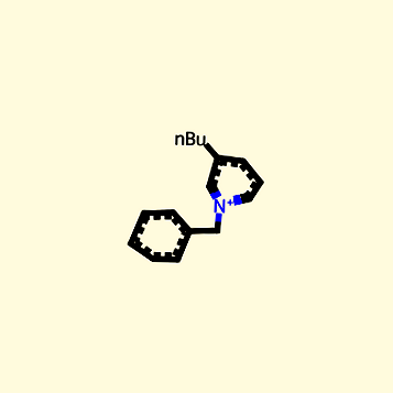 CCCCc1ccc[n+](Cc2ccccc2)c1